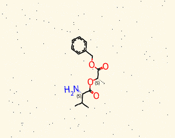 CC(C)[C@H](N)C(=O)O[C@@H](C)C(=O)OCc1ccccc1